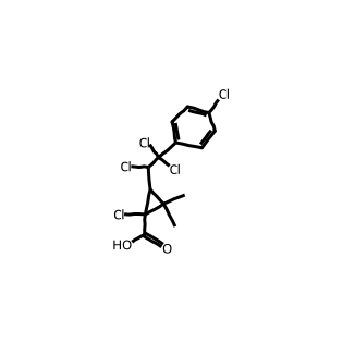 CC1(C)C(C(Cl)C(Cl)(Cl)c2ccc(Cl)cc2)C1(Cl)C(=O)O